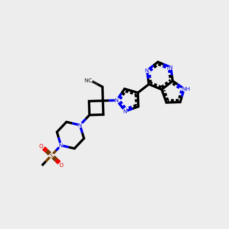 CS(=O)(=O)N1CCN(C2CC(CC#N)(n3cc(-c4ncnc5[nH]ccc45)cn3)C2)CC1